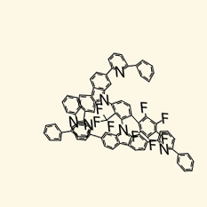 Fc1c(F)c(F)c(-c2ccc(-n3c4cc(-c5cccc(-c6ccccc6)n5)ccc4c4ccc(-c5cccc(-c6ccccc6)n5)cc43)c(C(F)(F)F)c2-n2c3cc(-c4cccc(-c5ccccc5)n4)ccc3c3ccc(-c4cccc(-c5ccccc5)n4)cc32)c(F)c1F